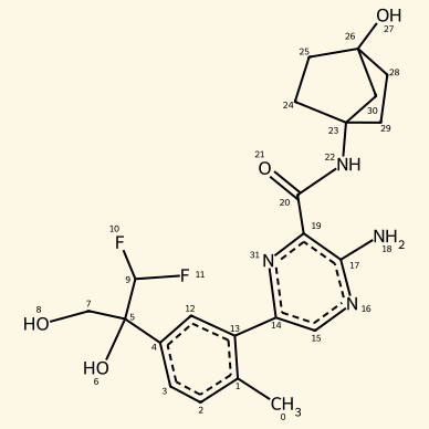 Cc1ccc(C(O)(CO)C(F)F)cc1-c1cnc(N)c(C(=O)NC23CCC(O)(CC2)C3)n1